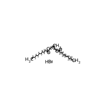 Br.C=CCCCCCCCCC(=O)OCCN(C)CCOC(=O)CCCCCCCCC=C